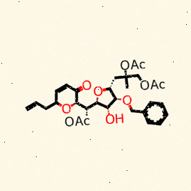 C=CCC1C=CC(=O)[C@@H]([C@@H](OC(C)=O)[C@@H]2O[C@H](C[C@@](C)(COC(C)=O)OC(C)=O)[C@H](OCc3ccccc3)[C@@H]2O)O1